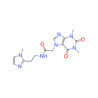 Cn1ccnc1CCNC(=O)Cn1cnc2c1c(=O)n(C)c(=O)n2C